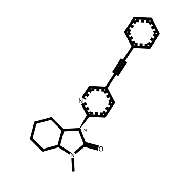 CN1C(=O)[C@H](c2ccc(C#Cc3ccccc3)cn2)C2CCCCC21